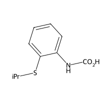 CC(C)Sc1ccccc1NC(=O)O